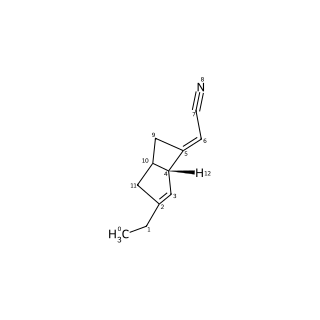 CCC1=C[C@H]2/C(=C/C#N)CC2C1